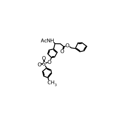 CC(=O)NC(CC(=O)OCc1ccccc1)c1ccc(OS(=O)(=O)c2ccc(C)cc2)cc1